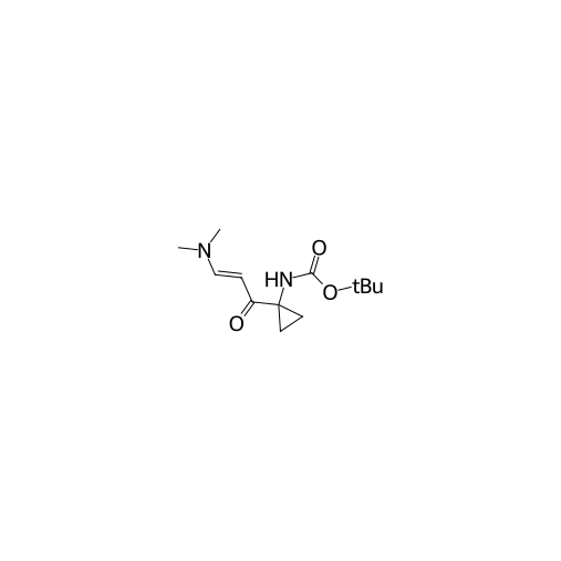 CN(C)C=CC(=O)C1(NC(=O)OC(C)(C)C)CC1